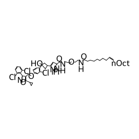 CCCCCCCC/C=C\CCCCCCCC(=O)NCCOCCNC(=O)c1cc(C2CC(O)(c3ccc(OCc4c(-c5c(Cl)cccc5Cl)noc4C4CC4)cc3Cl)C2)n(C(C)C)n1